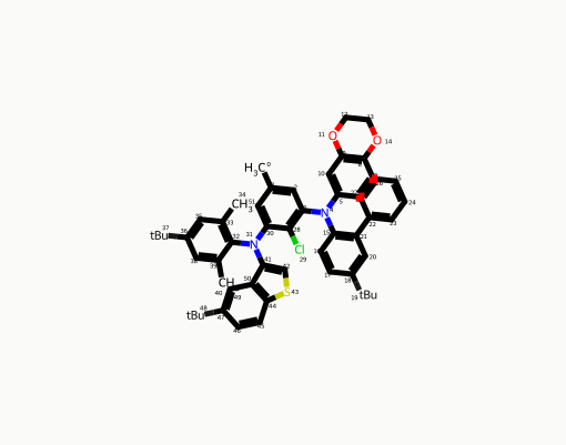 Cc1cc(N(c2ccc3c(c2)OCCO3)c2ccc(C(C)(C)C)cc2-c2ccccc2)c(Cl)c(N(c2c(C)cc(C(C)(C)C)cc2C)c2csc3ccc(C(C)(C)C)cc23)c1